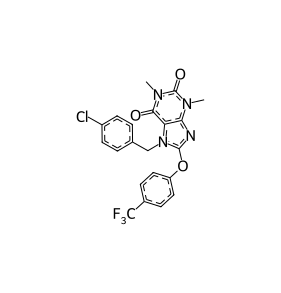 Cn1c(=O)c2c(nc(Oc3ccc(C(F)(F)F)cc3)n2Cc2ccc(Cl)cc2)n(C)c1=O